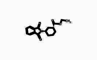 CCOC(=O)[C@@H]1CCC[C@@H](N2C(=O)c3ccccc3C2=O)C1